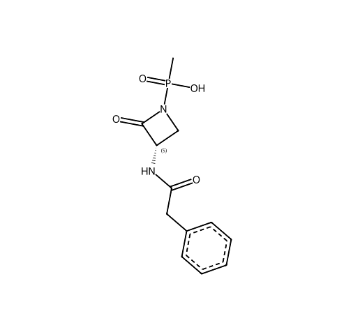 CP(=O)(O)N1C[C@H](NC(=O)Cc2ccccc2)C1=O